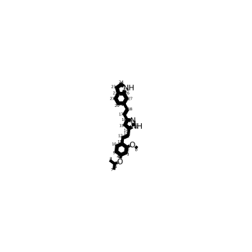 COc1cc(OC(C)C)ccc1C=Cc1cc(C=Cc2ccc3cc[nH]c3c2)n[nH]1